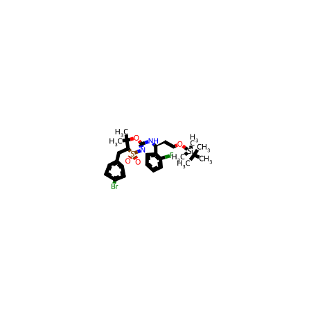 CC1(C)OC(N[C@@H](CCO[Si](C)(C)C(C)(C)C)c2ccccc2F)=NS(=O)(=O)C1Cc1ccc(Br)cc1